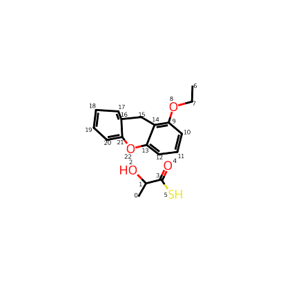 CC(O)C(=O)S.CCOc1cccc2c1Cc1ccccc1O2